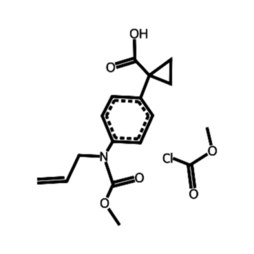 C=CCN(C(=O)OC)c1ccc(C2(C(=O)O)CC2)cc1.COC(=O)Cl